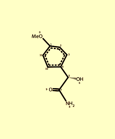 COc1ccc([C@H](O)C(N)=O)cc1